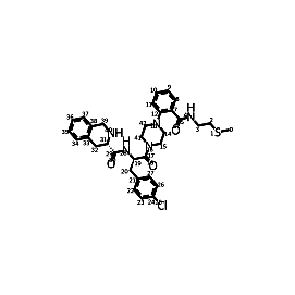 CSCCNC(=O)c1ccccc1N1CCN(C(=O)[C@@H](Cc2ccc(Cl)cc2)NC(=O)[C@@H]2Cc3ccccc3CN2)CC1